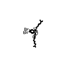 CC(C)CCCCCOC(=O)c1cc(Br)c(Br)cc1C(=O)OCCCCCC(C)C